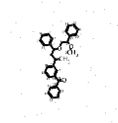 COC(COC(CC(C)c1cccc(C(=O)c2ccccc2)c1)c1ccccc1)c1ccccc1